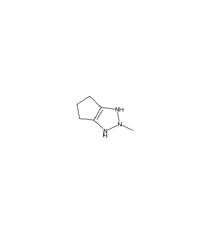 CN1NC2=C(CCC2)N1